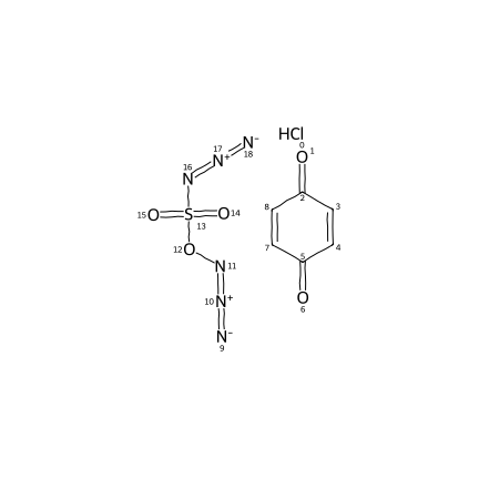 Cl.O=C1C=CC(=O)C=C1.[N-]=[N+]=NOS(=O)(=O)N=[N+]=[N-]